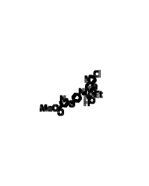 CCn1c(=O)[nH]/c(=N\C2C=CC(Oc3cncc(C(=O)OC)c3)=CC2)n(Cc2ccc(Cl)cn2)c1=O